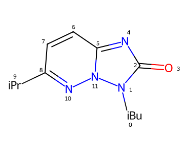 CCC(C)n1c(=O)nc2ccc(C(C)C)nn21